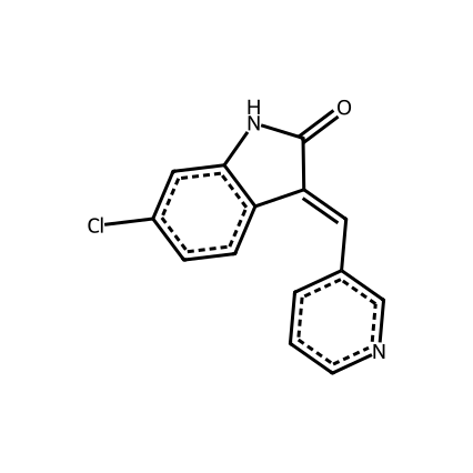 O=C1Nc2cc(Cl)ccc2/C1=C\c1cccnc1